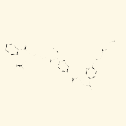 CCOC(=O)COc1ccc(C(=O)[C@H](C)NC(=O)c2ccc(N(C=N)C(=O)OCCOC(=O)c3ccccc3OC(C)=O)cc2)cc1